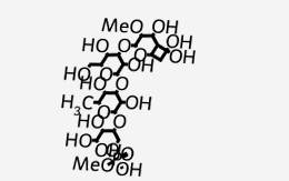 COC1C(OC2C(O)C(CO)OC(OC3C(O)C(C)OC(OC(COP(=O)(O)OC)C(O)C(O)O)C3O)C2O)OC2CC(O)(O)C2C1O